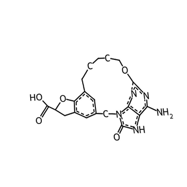 Nc1nc2nc3c1[nH]c(=O)n3Cc1cc(c3c(c1)CC(C(=O)O)O3)CCCCCO2